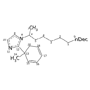 CCCCCCCCCCCCCCCC(C)n1ccnc1C1(C)C=CC=CC1